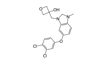 CN1CN(CC2(O)COC2)c2cc(Oc3ccc(Cl)c(Cl)c3)ccc21